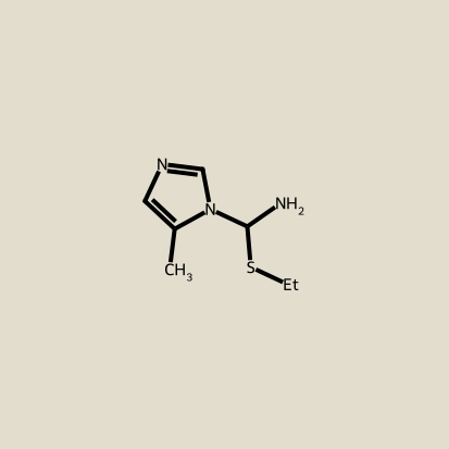 CCSC(N)n1cncc1C